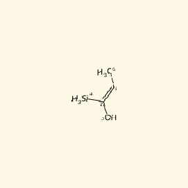 CC=C(O)[SiH3]